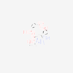 CNC(Cc1c[nH]c2ccccc12)C(=O)O.O=C(O)c1cccc(C(=O)O)c1